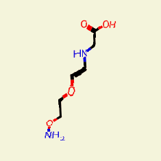 NOCCOC=CNCC(=O)O